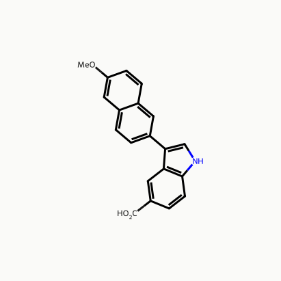 COc1ccc2cc(-c3c[nH]c4ccc(C(=O)O)cc34)ccc2c1